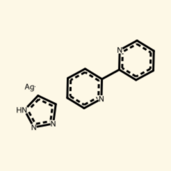 [Ag].c1c[nH]nn1.c1ccc(-c2ccccn2)nc1